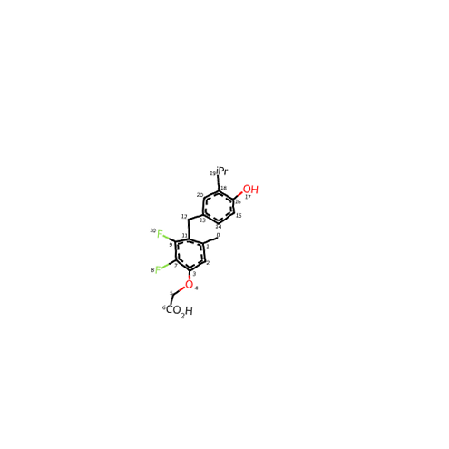 Cc1cc(OCC(=O)O)c(F)c(F)c1Cc1ccc(O)c(C(C)C)c1